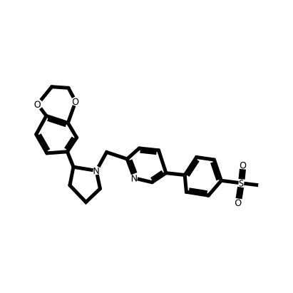 CS(=O)(=O)c1ccc(-c2ccc(CN3CCCC3c3ccc4c(c3)OCCO4)nc2)cc1